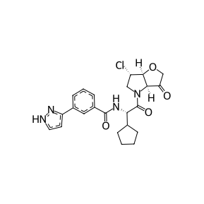 O=C(N[C@H](C(=O)N1C[C@H](Cl)[C@H]2OCC(=O)[C@H]21)C1CCCC1)c1cccc(-c2cc[nH]n2)c1